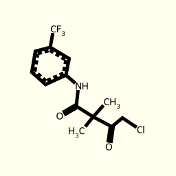 CC(C)(C(=O)CCl)C(=O)Nc1cccc(C(F)(F)F)c1